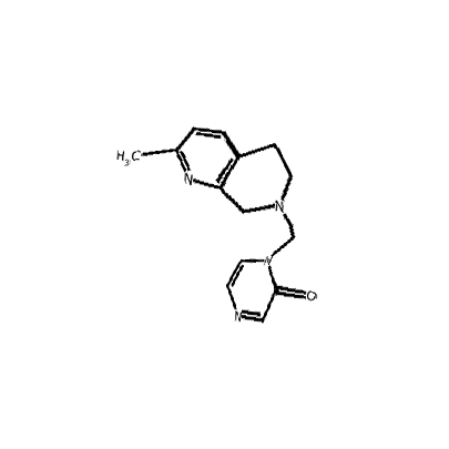 Cc1ccc2c(n1)CN(Cn1ccncc1=O)CC2